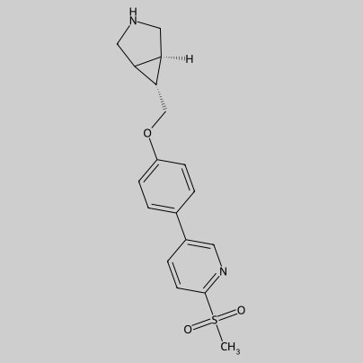 CS(=O)(=O)c1ccc(-c2ccc(OC[C@@H]3C4CNC[C@H]43)cc2)cn1